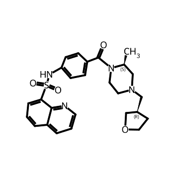 C[C@H]1CN(C[C@H]2CCOC2)CCN1C(=O)c1ccc(NS(=O)(=O)c2cccc3cccnc23)cc1